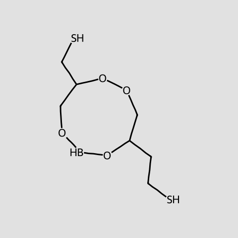 SCCC1COOC(CS)COBO1